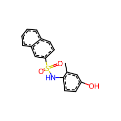 Cc1cc(O)ccc1NS(=O)(=O)c1ccc2ccccc2c1